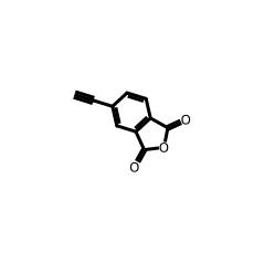 C#Cc1ccc2c(c1)C(=O)OC2=O